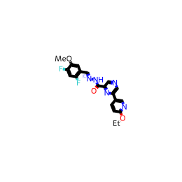 CCOc1ccc(-c2cncc(C(=O)N/N=C/c3cc(OC)c(F)cc3F)n2)cn1